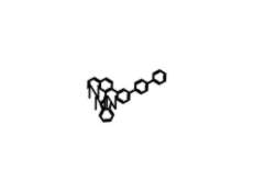 c1ccc(-c2ccc(-c3ccc4c(c3)c3ccc5cccnc5c3c3nc5ccccc5n43)cc2)cc1